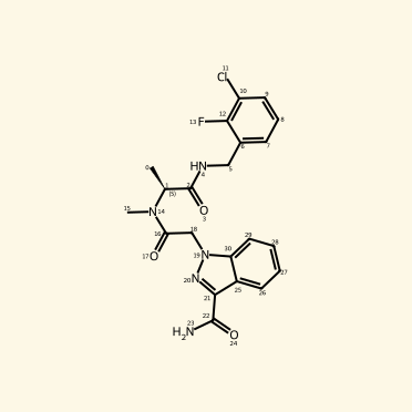 C[C@@H](C(=O)NCc1cccc(Cl)c1F)N(C)C(=O)Cn1nc(C(N)=O)c2ccccc21